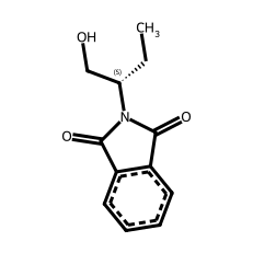 CC[C@@H](CO)N1C(=O)c2ccccc2C1=O